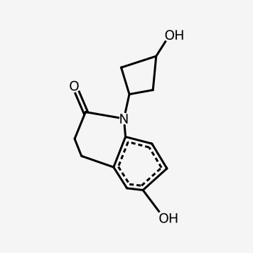 O=C1CCc2cc(O)ccc2N1C1CC(O)C1